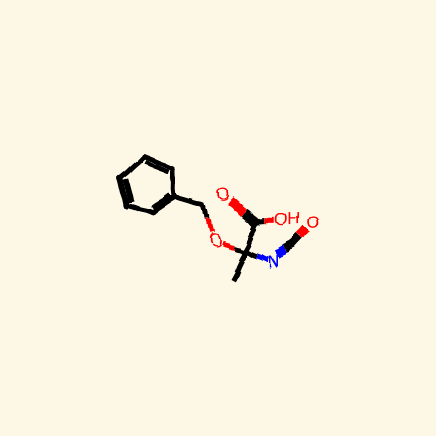 CC(N=C=O)(OCc1ccccc1)C(=O)O